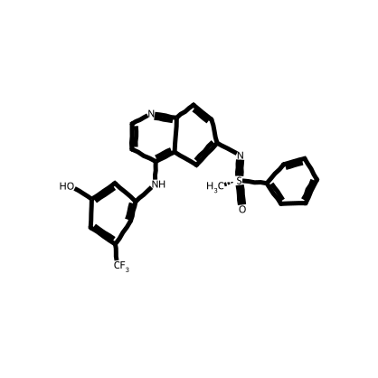 C[S@](=O)(=Nc1ccc2nccc(Nc3cc(O)cc(C(F)(F)F)c3)c2c1)c1ccccc1